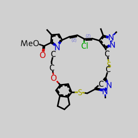 COC(=O)c1c(C)cc2n1CCCOc1cc3c(c(c1)SCc1cc(nn1C)CSCc1nn(C)c(C)c1/C=C(Cl)/C=C\2)CCC3